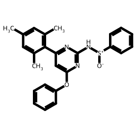 Cc1cc(C)c(-c2cc(Oc3ccccc3)nc(N[S+]([O-])c3ccccc3)n2)c(C)c1